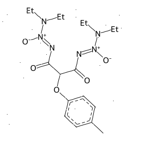 CCN(CC)[N+]([O-])=NC(=O)C(Oc1ccc(C)cc1)C(=O)N=[N+]([O-])N(CC)CC